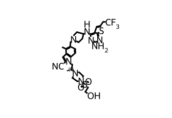 Cc1c(CN2CCC(Nc3nc(N)nc4sc(CC(F)(F)F)cc34)CC2)ccc2c1cc(C#N)n2C[C@H](C)N1CCN(S(=O)(=O)CCO)CC1